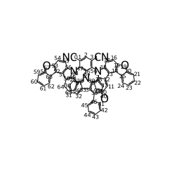 N#Cc1cc(C#N)c(-n2c3ccccc3c3c4c(ccc32)oc2ccccc24)c(-n2c3ccccc3c3c4c(ccc32)oc2ccccc24)c1-n1c2c(c3c4c(ccc31)oc1ccccc14)CCC=C2